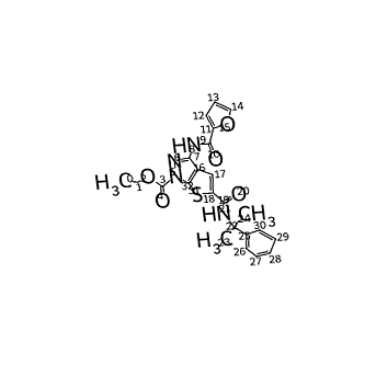 CCOC(=O)n1nc(NC(=O)c2ccco2)c2cc(C(=O)NC(C)(C)c3ccccc3)sc21